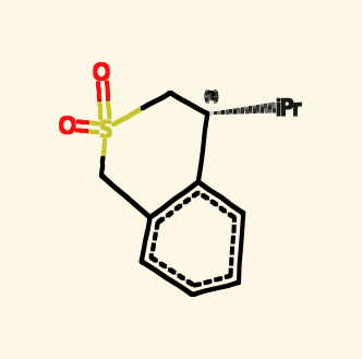 CC(C)[C@H]1CS(=O)(=O)Cc2ccccc21